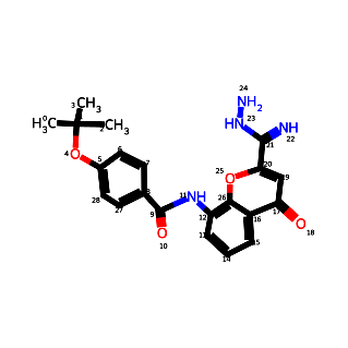 CC(C)(C)Oc1ccc(C(=O)Nc2cccc3c(=O)cc(C(=N)NN)oc23)cc1